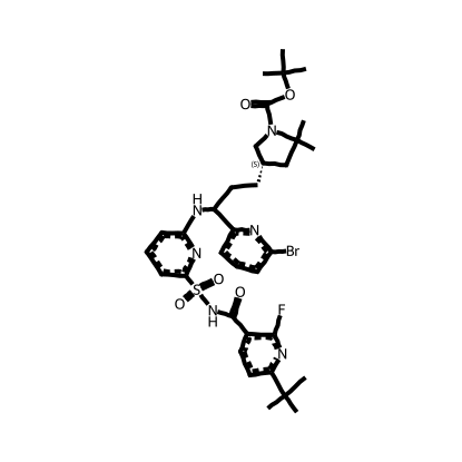 CC(C)(C)OC(=O)N1C[C@@H](CCC(Nc2cccc(S(=O)(=O)NC(=O)c3ccc(C(C)(C)C)nc3F)n2)c2cccc(Br)n2)CC1(C)C